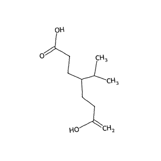 C=C(O)CCC(CCC(=O)O)C(C)C